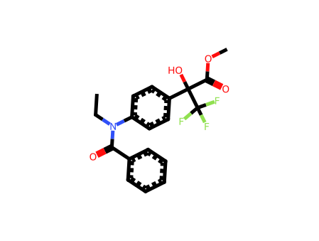 CCN(C(=O)c1ccccc1)c1ccc(C(O)(C(=O)OC)C(F)(F)F)cc1